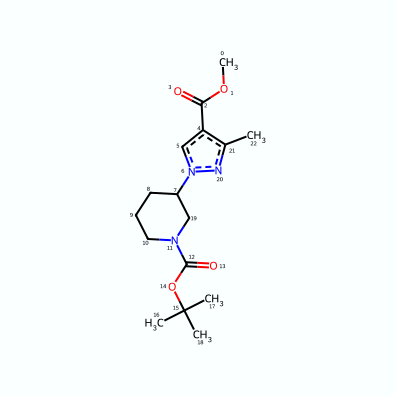 COC(=O)c1cn(C2CCCN(C(=O)OC(C)(C)C)C2)nc1C